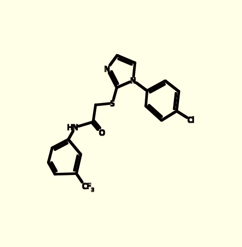 O=C(CSc1nccn1-c1ccc(Cl)cc1)Nc1cccc(C(F)(F)F)c1